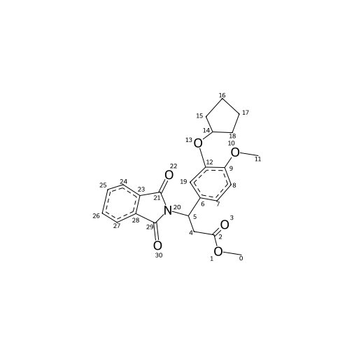 COC(=O)CC(c1ccc(OC)c(OC2CCCC2)c1)N1C(=O)c2ccccc2C1=O